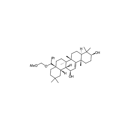 COCOC(C(C)C)[C@]12CCC(C)(C)C[C@H]1[C@H]1[C@H](O)C=C3[C@@]4(C)CC[C@H](O)C(C)(C)[C@@H]4CC[C@@]3(C)[C@]1(C)CC2